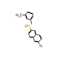 Cc1cccc(C[S+]([O-])c2ccc3cc(Br)ccc3c2)c1